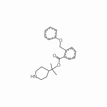 CC(C)(OC(=O)c1ccccc1COc1ccccc1)C1CCNCC1